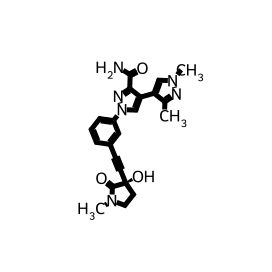 Cc1nn(C)cc1-c1cn(-c2cccc(C#C[C@]3(O)CCN(C)C3=O)c2)nc1C(N)=O